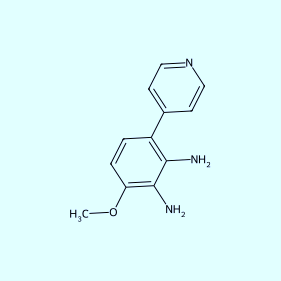 COc1ccc(-c2ccncc2)c(N)c1N